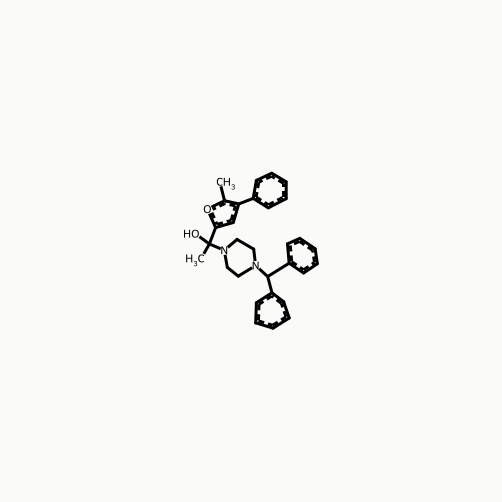 Cc1oc(C(C)(O)N2CCN(C(c3ccccc3)c3ccccc3)CC2)cc1-c1ccccc1